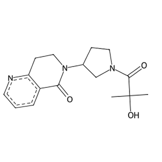 CC(C)(O)C(=O)N1CCC(N2CCc3ncccc3C2=O)C1